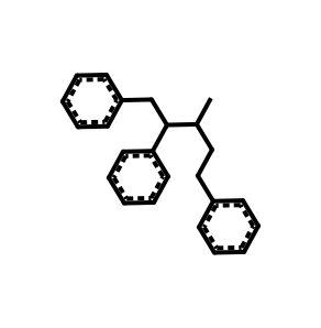 CC(CCc1ccccc1)[C](Cc1ccccc1)c1ccccc1